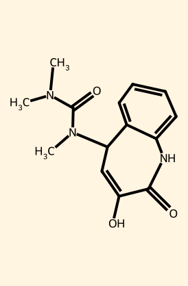 CN(C)C(=O)N(C)C1C=C(O)C(=O)Nc2ccccc21